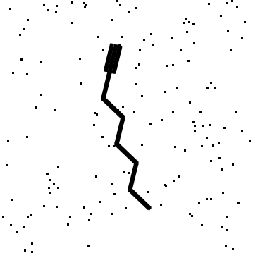 [C]#CCCCCCC